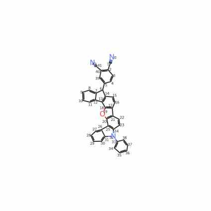 N#Cc1ccc(C2c3ccccc3-c3c2ccc2c3oc3c2ccc2c3c3ccccc3n2-c2ccccc2)cc1C#N